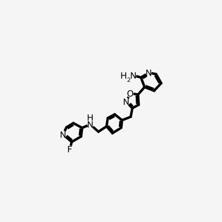 Nc1ncccc1-c1cc(Cc2ccc(CNc3ccnc(F)c3)cc2)no1